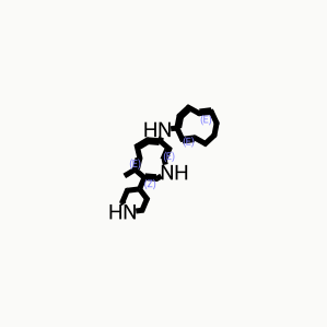 CC1=C\C=C=C(NC2=C=C/C=C/CCC/C=C/2)/C=C/N/C=C\1C1CCNCC1